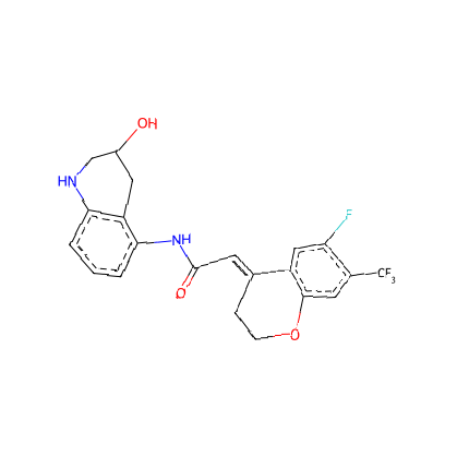 O=C(C=C1CCOc2cc(C(F)(F)F)c(F)cc21)Nc1cccc2c1CC(O)CN2